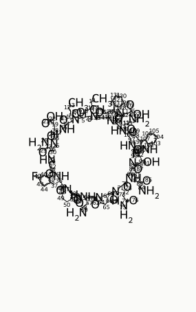 CCCC[C@H]1C(=O)N(C)[C@@H](CCCC)C(=O)N[C@@H](CCC(=O)O)C(=O)N[C@H](C(N)=O)CNCC(=O)N[C@@H](Cc2ccc(F)cc2)C(=O)N2CCCC[C@H]2C(=O)N[C@@H](CC(N)=O)C(=O)N2CCCC2C(=O)N[C@@H](CCC(N)=O)C(=O)N[C@@H](CCC(N)=O)C(=O)N2C[C@H](O)C[C@H]2C(=O)N[C@@H](Cc2c[nH]c3ccccc23)C(=O)N[C@@H](CC(N)=O)C(=O)N[C@@H](Cc2cn(CC(=O)O)c3ccccc23)C(=O)N1C